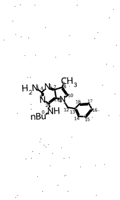 CCCCNc1nc(N)nc2c(C)cn(Cc3ccccc3)c12